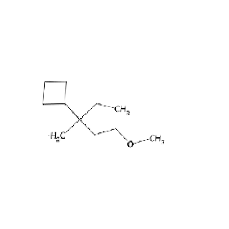 [CH2]C(CC)(CCOC)C1CCC1